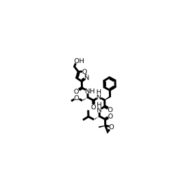 COC[C@H](NC(=O)c1cc(CO)on1)C(=O)N[C@@H](Cc1ccccc1)C(=O)N[C@@H](CC(C)C)C(=O)[C@@]1(C)CO1